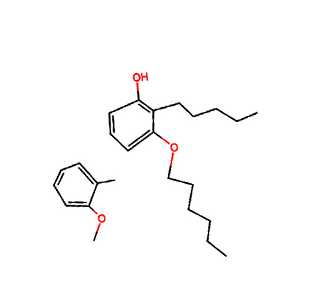 CCCCCCOc1cccc(O)c1CCCCC.COc1ccccc1C